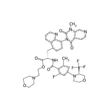 Cc1cc(N2CCOC[C@@H]2C(F)(F)F)cc(F)c1C(=O)N[C@@H](Cc1ccc(-n2c(=O)c3ccncc3n(C)c2=O)c2ncccc12)C(=O)OCCN1CCOCC1